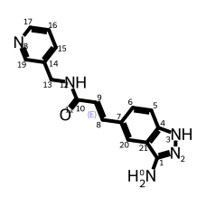 Nc1n[nH]c2ccc(/C=C/C(=O)NCc3cccnc3)cc12